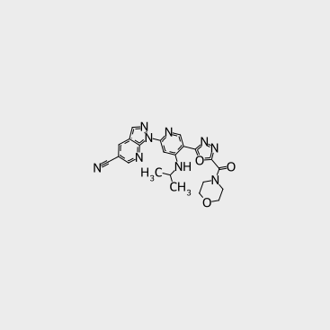 CC(C)Nc1cc(-n2ncc3cc(C#N)cnc32)ncc1-c1nnc(C(=O)N2CCOCC2)o1